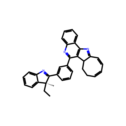 CC[C@]1(C)C(c2cccc(-c3nc4ccccc4c4c3C3CC/C=C\C=C/C3=N4)c2)=Nc2ccccc21